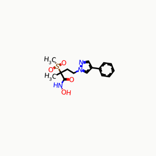 CC(CCn1cc(-c2ccccc2)cn1)(C(=O)NO)S(C)(=O)=O